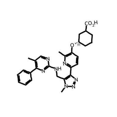 Cc1cnc(NCc2c(-c3ccc(O[C@H]4CCCC(C(=O)O)C4)c(C)n3)nnn2C)nc1-c1ccccc1